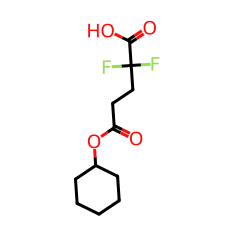 O=C(CCC(F)(F)C(=O)O)OC1CCCCC1